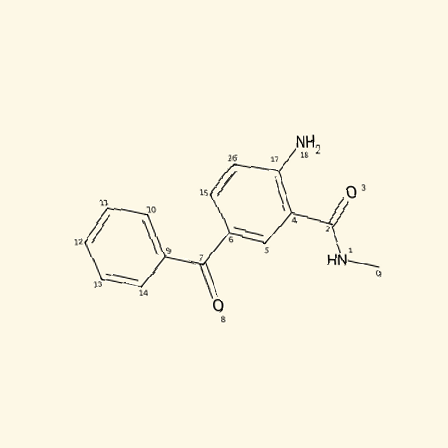 CNC(=O)c1cc(C(=O)c2ccccc2)ccc1N